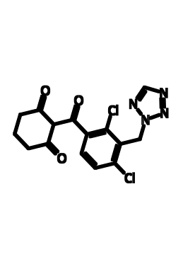 O=C1CCCC(=O)C1C(=O)c1ccc(Cl)c(Cn2ncnn2)c1Cl